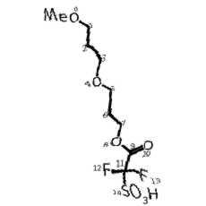 COCCCOCCCOC(=O)C(F)(F)S(=O)(=O)O